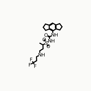 CC(CCNCCC(F)(F)F)S(=O)(=O)NC(=O)Nc1c2c(cc3c1CCC3)CCC2